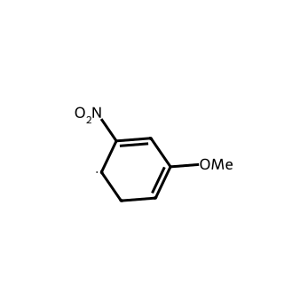 COC1=CC[CH]C([N+](=O)[O-])=C1